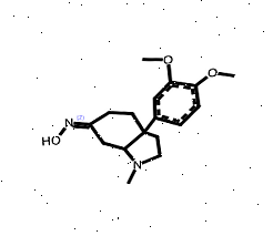 COc1ccc(C23CC/C(=N/O)CC2N(C)CC3)cc1OC